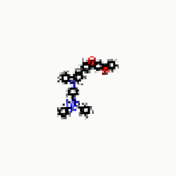 c1ccc(-c2nc(-c3ccccc3)nc(-c3ccc(-n4c5ccccc5c5cc(-c6ccc7oc8cc9c(cc8c7c6)oc6ccccc69)ccc54)cc3)n2)cc1